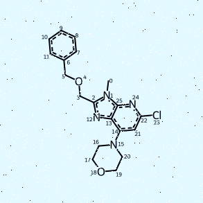 Cn1c(COCc2ccccc2)nc2c(N3CCOCC3)cc(Cl)nc21